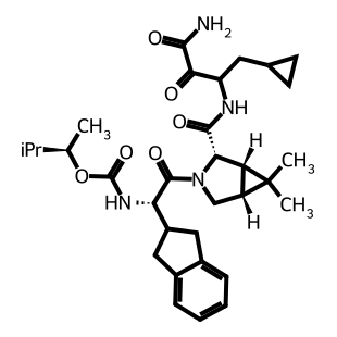 CC(C)[C@@H](C)OC(=O)N[C@H](C(=O)N1C[C@@H]2[C@H]([C@H]1C(=O)NC(CC1CC1)C(=O)C(N)=O)C2(C)C)C1Cc2ccccc2C1